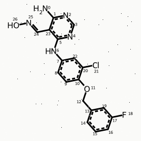 Nc1ncnc(Nc2ccc(OCc3cccc(F)c3)c(Cl)c2)c1C=NO